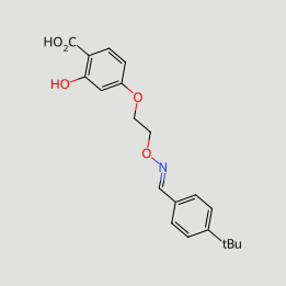 CC(C)(C)c1ccc(/C=N/OCCOc2ccc(C(=O)O)c(O)c2)cc1